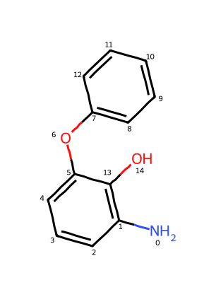 Nc1cccc(Oc2ccccc2)c1O